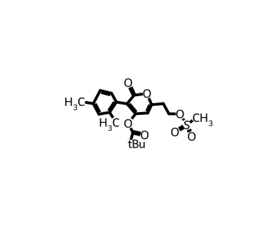 Cc1ccc(-c2c(OC(=O)C(C)(C)C)cc(CCOS(C)(=O)=O)oc2=O)c(C)c1